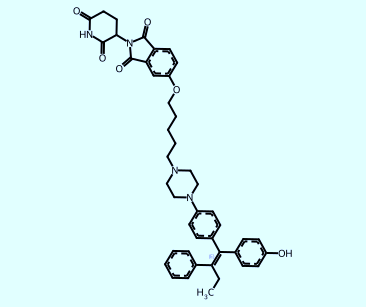 CC/C(=C(\c1ccc(O)cc1)c1ccc(N2CCN(CCCCCOc3ccc4c(c3)C(=O)N(C3CCC(=O)NC3=O)C4=O)CC2)cc1)c1ccccc1